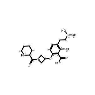 O=C(O)c1c(OC2CN(C(=O)C3CCCCN3)C2)ccc(CCB(O)O)c1O